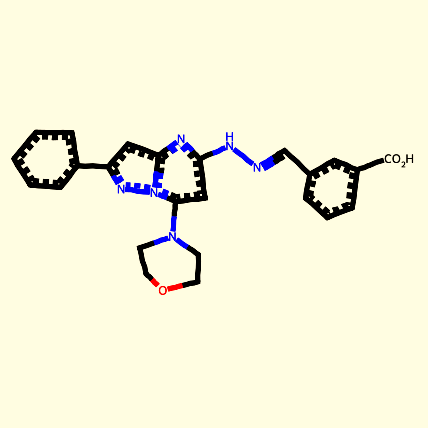 O=C(O)c1cccc(C=NNc2cc(N3CCOCC3)n3nc(-c4ccccc4)cc3n2)c1